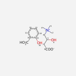 C[N+](C)(C)CC(O)CC(=O)[O-].O=C(O)c1ccccc1O